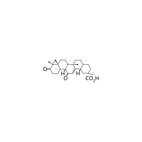 C[C@]1(C(=O)O)CC[C@]2(C)CC[C@]3(C)C(=CC(=O)[C@@H]4[C@@]5(C)CCC(=O)[C@]6(C)C[C@]65CC[C@]43C)[C@H]2C1